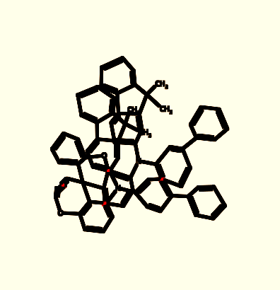 CC1(C)c2ccccc2-c2ccc(N(c3cccc(-c4ccccc4)c3)c3cccc4c3Oc3ccccc3C43c4ccccc4Oc4cccc(N(c5ccc(-c6ccccc6)cc5)c5ccc6c(c5)C(C)(C)c5ccccc5-6)c43)cc21